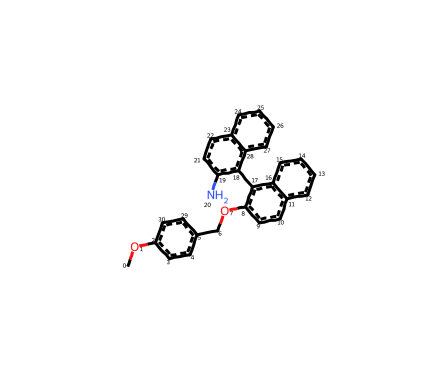 COc1ccc(COc2ccc3ccccc3c2-c2c(N)ccc3ccccc23)cc1